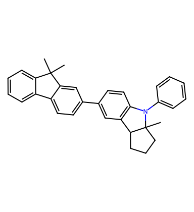 CC1(C)c2ccccc2-c2ccc(-c3ccc4c(c3)C3CCCC3(C)N4c3ccccc3)cc21